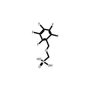 O=P(O)(O)COCc1c(F)c(F)c(F)c(F)c1F